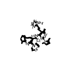 CCC(Nc1nc(-n2c(C)ccc2C)nc(C)c1/C=C/c1nnn[nH]1)c1cc2cccc(C)c2nc1N1CCSCC1